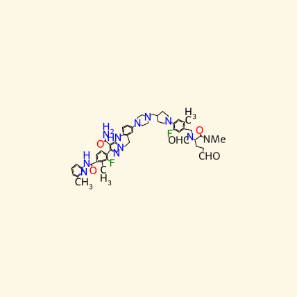 CNC(=O)C(CCC=O)N(C=O)Cc1cc(F)c(N2CCC(CN3CCN(c4ccc5c(c4)CCn4nc(-c6ccc(C(=O)Nc7cccc(C)n7)c(C)c6F)c(C(N)=O)c4N5)CC3)CC2)cc1C